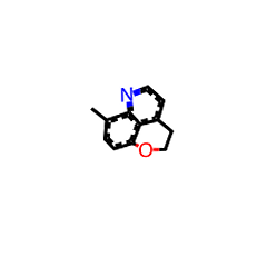 Cc1ccc2c3c(ccnc13)CCO2